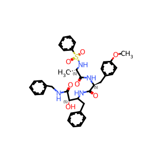 COc1ccc(C[C@H](NC(=O)[C@H](C)NS(=O)(=O)c2ccccc2)C(=O)NC(Cc2ccccc2)[C@H](O)C(=O)NCc2ccccc2)cc1